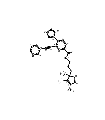 CC1=C(C)C(C)(CCCNC(=O)c2ccc(-n3cccn3)c(C#Cc3ccccc3)c2)C=C1